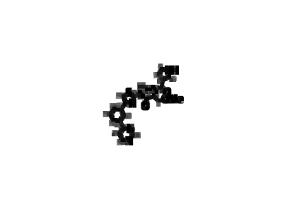 COCC(NC(=O)c1cc[nH]c1)C(=O)Nc1nc(-c2cccc(-c3ccncn3)c2)cs1